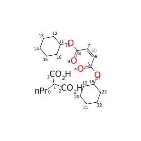 CCCC(C(=O)O)C(=O)O.O=C(/C=C\C(=O)OC1CCCCC1)OC1CCCCC1